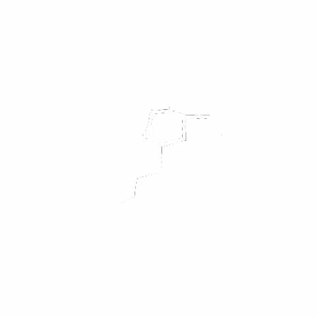 O=C(O)CCSc1ncnc2ccsc12